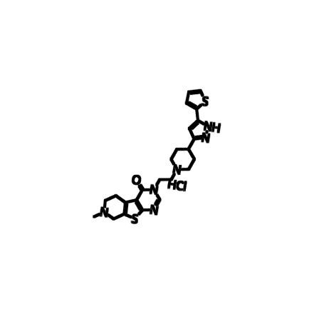 CN1CCc2c(sc3ncn(CCN4CCC(c5cc(-c6cccs6)[nH]n5)CC4)c(=O)c23)C1.Cl